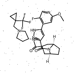 COc1cc(-c2cc(C(=O)N3[C@@H]4CC[C@H]3CC(C(=O)N[C@@H]3CCN(CC5(C(F)(F)F)CC5)C3)C4)n[nH]2)c(F)cn1